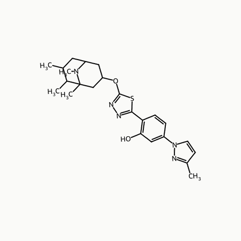 Cc1ccn(-c2ccc(-c3nnc(OC4CC5CC(C)C(C)C(C)(C4)N5C)s3)c(O)c2)n1